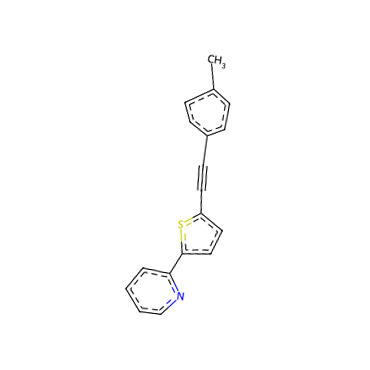 Cc1ccc(C#Cc2ccc(-c3ccccn3)s2)cc1